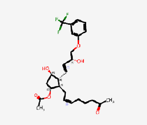 CC(=O)CCC/C=C\C[C@@H]1[C@@H](/C=C/[C@@H](O)COc2cccc(C(F)(F)F)c2)[C@H](O)C[C@@H]1OC(C)=O